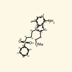 COCCc1nc2c(N)ncc(C)c2n1CCCS(=O)(=O)c1ccccc1